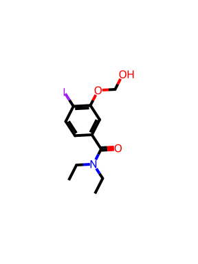 CCN(CC)C(=O)c1ccc(I)c(OCO)c1